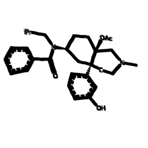 CC(=O)O[C@]12CC[C@H](N(CC(C)C)C(=O)c3ccccc3)C[C@]1(c1cccc(O)c1)CCN(C)C2